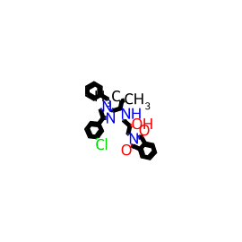 CC(C)[C@@H](NCC(O)CN1C(=O)c2ccccc2C1=O)C1=NC(c2cccc(Cl)c2)CN1Cc1ccccc1